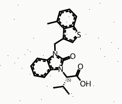 Cc1cccc2scc(Cn3c(=O)n([C@H](C(=O)O)C(C)C)c4ccccc43)c12